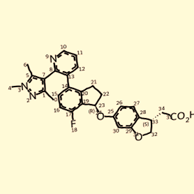 Cc1nn(C)c(C)c1-c1ncccc1-c1ccc(F)c2c1CC[C@H]2Oc1ccc2c(c1)OC[C@H]2CC(=O)O